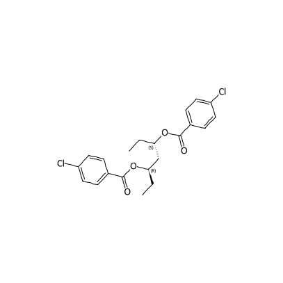 CC[C@H](C[C@H](CC)OC(=O)c1ccc(Cl)cc1)OC(=O)c1ccc(Cl)cc1